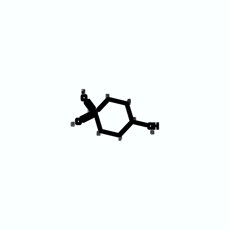 O=S1(=O)C[CH]C(O)CC1